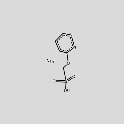 O=S(=O)(O)COc1cccnn1.[NaH]